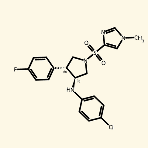 Cn1cnc(S(=O)(=O)N2C[C@@H](Nc3ccc(Cl)cc3)[C@H](c3ccc(F)cc3)C2)c1